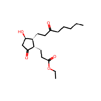 CCCCCC(=O)CC[C@H]1[C@H](O)CC(=O)[C@H]1CCC(=O)OCC